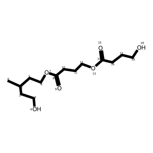 CC(CCO)CCOC(=O)CCCOC(=O)CCCO